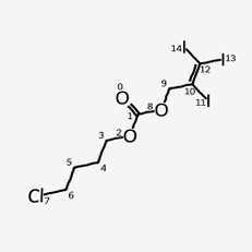 O=C(OCCCCCl)OCC(I)=C(I)I